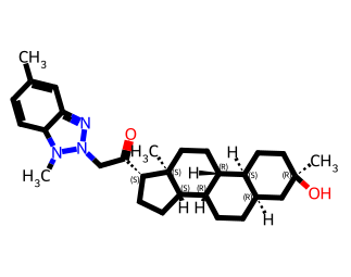 CC1=CC2=NN(CC(=O)[C@H]3CC[C@H]4[C@@H]5CC[C@@H]6C[C@](C)(O)CC[C@@H]6[C@H]5CC[C@]34C)N(C)C2C=C1